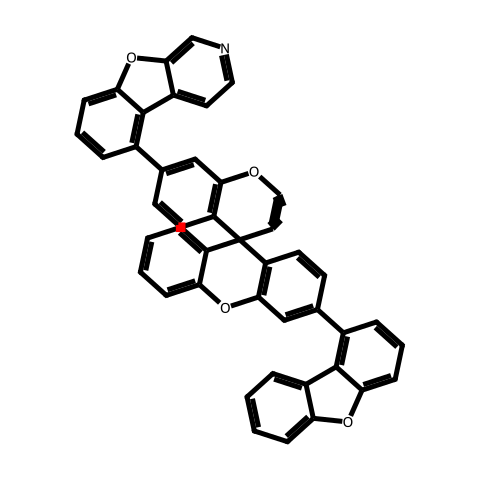 c1ccc2c(c1)Oc1cc(-c3cccc4oc5ccccc5c34)ccc1C21c2ccccc2Oc2cc(-c3cccc4oc5cnccc5c34)ccc21